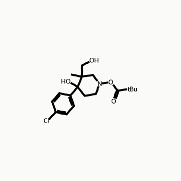 CC(C)(C)C(=O)ON1CCC(O)(c2ccc(Cl)cc2)C(C)(CO)C1